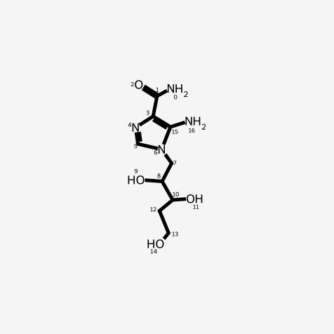 NC(=O)c1ncn(CC(O)C(O)CCO)c1N